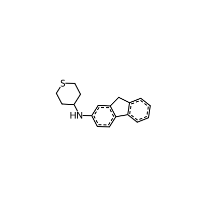 c1ccc2c(c1)Cc1cc(NC3CCSCC3)ccc1-2